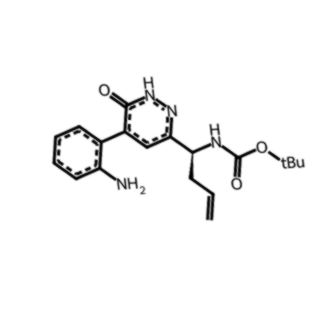 C=CC[C@H](NC(=O)OC(C)(C)C)c1cc(-c2ccccc2N)c(=O)[nH]n1